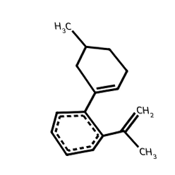 C=C(C)c1ccccc1C1=CCCC(C)C1